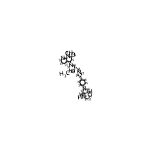 C[C@@H]1CN(c2cc(=O)n(C)c3ncccc23)C[C@H](CN2CC(c3ccc(N4C[C@H]5NCCO[C@@H]5C4)cc3)C2)O1